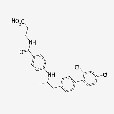 C[C@@H](Cc1ccc(-c2ccc(Cl)cc2Cl)cc1)Nc1ccc(C(=O)NCCC(=O)O)cc1